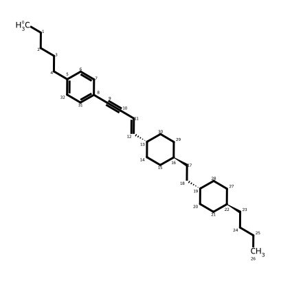 CCCCCc1ccc(C#CC=C[C@H]2CC[C@H](CC[C@H]3CC[C@H](CCCC)CC3)CC2)cc1